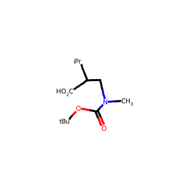 CC(C)C(CN(C)C(=O)OC(C)(C)C)C(=O)O